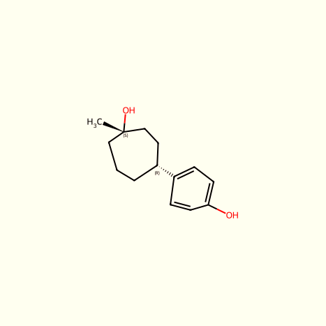 C[C@]1(O)CCC[C@@H](c2ccc(O)cc2)CC1